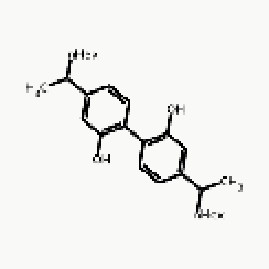 CCCCCCC(C)c1ccc(-c2ccc(C(C)CCCCCC)cc2O)c(O)c1